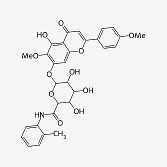 COc1ccc(-c2cc(=O)c3c(O)c(OC)c(OC4OC(C(=O)Nc5ccccc5C)C(O)C(O)C4O)cc3o2)cc1